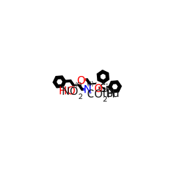 CC(C)(C)[Si](OC[C@@H]1CO[C@H](C(O)Cc2ccccc2[N+](=O)[O-])CN1C(=O)O)(c1ccccc1)c1ccccc1